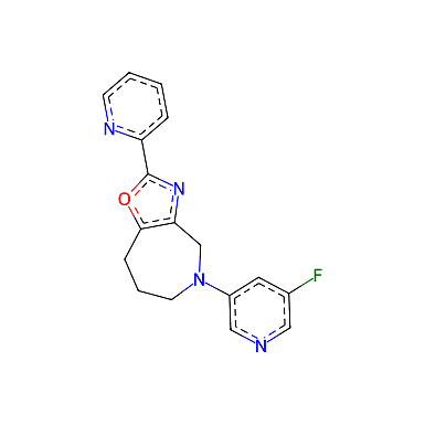 Fc1cncc(N2CCCc3oc(-c4ccccn4)nc3C2)c1